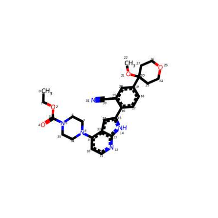 CCOC(=O)N1CCN(c2ccnc3[nH]c(-c4ccc(C5(OC)CCOCC5)cc4C#N)cc23)CC1